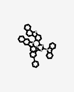 c1ccc(-c2cccc(-c3nc(-c4ccc5oc6c7ccccc7ccc6c5c4-n4c5ccccc5c5cc6ccccc6cc54)nc(-n4c5ccccc5c5ccccc54)n3)c2)cc1